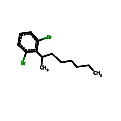 CCCCCCC(C)c1c(Br)cccc1Br